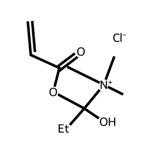 C=CC(=O)OC(O)(CC)[N+](C)(C)C.[Cl-]